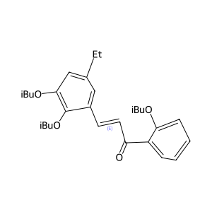 CCc1cc(/C=C/C(=O)c2ccccc2OCC(C)C)c(OCC(C)C)c(OCC(C)C)c1